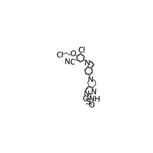 CS(=O)(=O)Nc1ncc2c(n1)CCN(c1ccc3c(ccn3-c3cc(Cl)c(OCCCl)c(C#N)c3)c1)C2